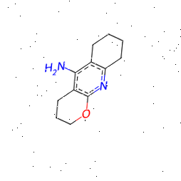 Nc1c2c(nc3c1CCCO3)CCCC2